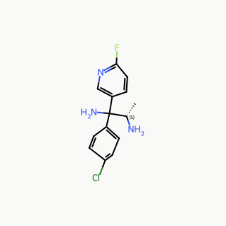 C[C@H](N)C(N)(c1ccc(Cl)cc1)c1ccc(F)nc1